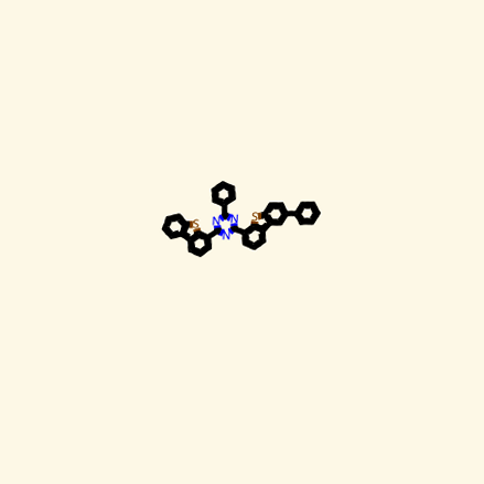 c1ccc(-c2ccc3sc4c(-c5nc(-c6ccccc6)nc(-c6cccc7c6sc6ccccc67)n5)cccc4c3c2)cc1